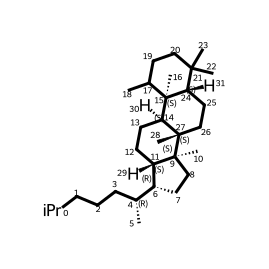 CC(C)CCC[C@@H](C)[C@H]1CC[C@@]2(C)[C@H]1CC[C@H]1[C@@]3(C)C(C)CCC(C)(C)[C@@H]3CC[C@@]12C